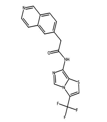 O=C(Cc1ccc2cnccc2c1)Nc1ncn2c(C(F)(F)F)csc12